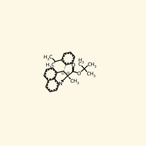 CC(C)c1ccccc1[C@@H](c1cccc2ccccc12)[C@@](C)(C#N)C(=O)OC(C)(C)C